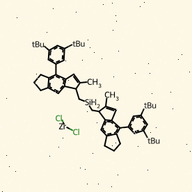 CC1=Cc2c(cc3c(c2-c2cc(C(C)(C)C)cc(C(C)(C)C)c2)CCC3)C1C[SiH2]CC1C(C)=Cc2c1cc1c(c2-c2cc(C(C)(C)C)cc(C(C)(C)C)c2)CCC1.[Cl][Zr][Cl]